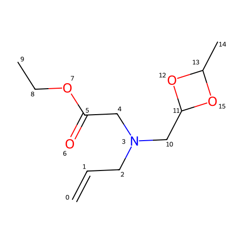 C=CCN(CC(=O)OCC)CC1OC(C)O1